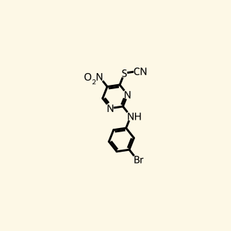 N#CSc1nc(Nc2cccc(Br)c2)ncc1[N+](=O)[O-]